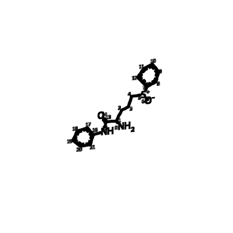 NC(CCC[S+]([O-])c1ccccc1)C(=O)Nc1ccccc1